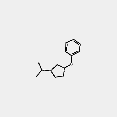 CC(C)N1CCC(Oc2ccccc2)C1